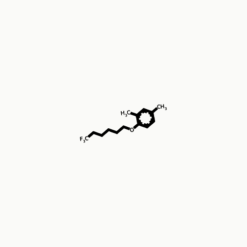 Cc1ccc(OCCCCCC(F)(F)F)c(C)c1